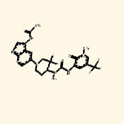 CC(=O)Nc1c[nH]c2ncc(N3CCC(N(C)C(=O)Nc4cc(C(F)(F)F)cn(C)c4=O)C(F)(F)C3)cc12